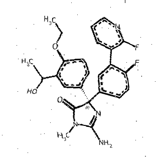 CCOc1ccc([C@]2(c3ccc(F)c(-c4cccnc4F)c3)N=C(N)N(C)C2=O)cc1C(C)O